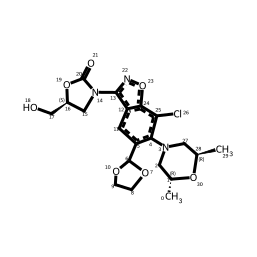 C[C@@H]1CN(c2c(C3OCCO3)cc3c(N4C[C@@H](CO)OC4=O)noc3c2Cl)C[C@@H](C)O1